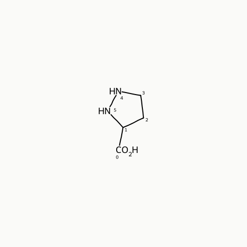 O=C(O)C1CCNN1